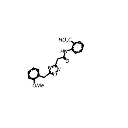 COc1ccccc1Cc1nc(CC(=O)Nc2ccccc2C(=O)O)no1